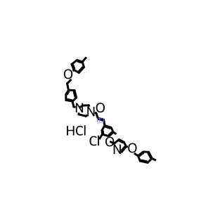 Cc1ccc(COc2ccc(Oc3c(C)cc(/C=C/C(=O)N4CCN(Cc5ccc(CCOc6ccc(C)cc6)cc5)CC4)cc3Cl)nc2)cc1.Cl